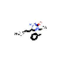 Cc1ccccc1.N#CCN(CCCCS(=O)(=O)O)C(N)=O